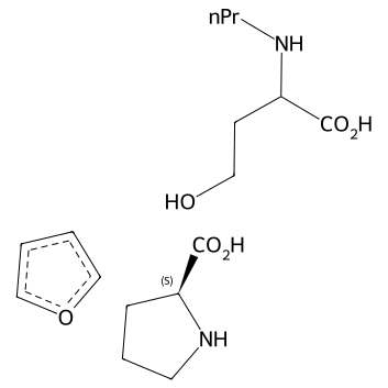 CCCNC(CCO)C(=O)O.O=C(O)[C@@H]1CCCN1.c1ccoc1